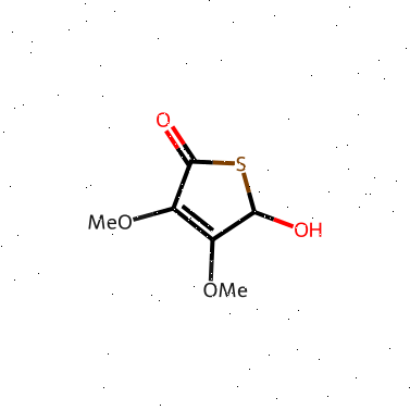 COC1=C(OC)C(O)SC1=O